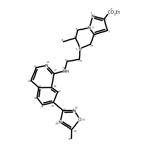 CCOC(=O)c1cc2n(n1)CC(C)N(CCNc1nccc3ccc(-c4noc(C)n4)cc13)C2